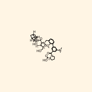 COc1c(CN2O[C@@H](CO)[C@@H]([C@H](C)O)[C@H]2C(=O)N[C@H]2C[C@H]3C[C@@H]([C@@H]2C)C3(C)C)cccc1-c1cc(C(=O)N2CCC[C@H]2C(=O)O)cc(N(C)C)c1